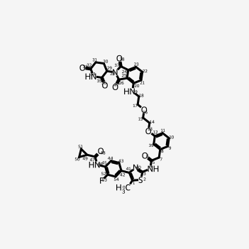 Cc1sc(NC(=O)Cc2cccc(OCCOCCNc3cccc4c3C(=O)N(C3CCC(=O)NC3=O)C4=O)c2)nc1-c1ccc(NC(=O)C2CC2)c(F)c1